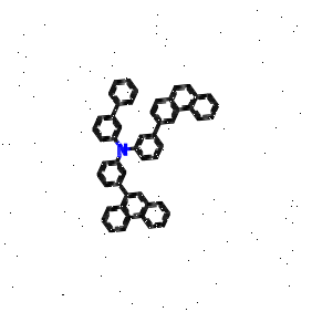 c1ccc(-c2cccc(N(c3cccc(-c4ccc5ccc6ccccc6c5c4)c3)c3cccc(-c4cc5ccccc5c5ccccc45)c3)c2)cc1